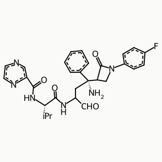 CC(C)[C@H](NC(=O)c1cnccn1)C(=O)NC(C=O)C[C@@](N)(c1ccccc1)C1CN(c2ccc(F)cc2)C1=O